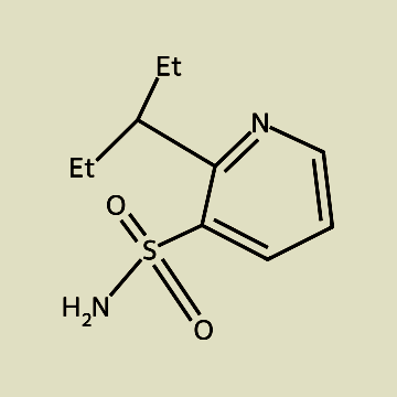 CCC(CC)c1ncccc1S(N)(=O)=O